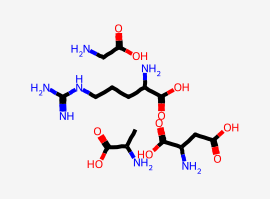 CC(N)C(=O)O.N=C(N)NCCCC(N)C(=O)O.NC(CC(=O)O)C(=O)O.NCC(=O)O